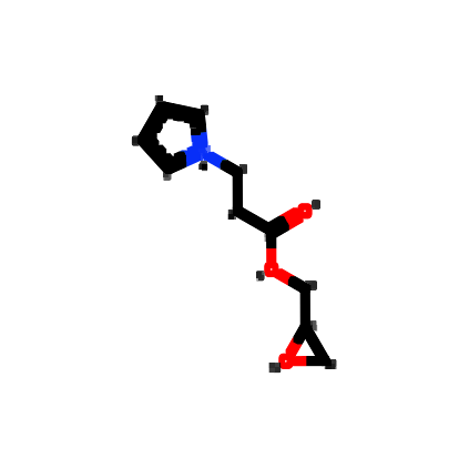 O=C(CCn1cccc1)OCC1CO1